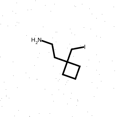 NCCC1(CI)CCC1